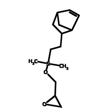 C[Si](C)(CCC1CC2C=CC1C2)OCC1CO1